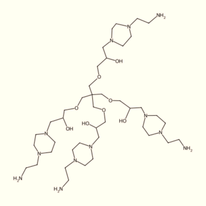 NCCN1CCN(CC(O)COCC(COCC(O)CN2CCN(CCN)CC2)(COCC(O)CN2CCN(CCN)CC2)COCC(O)CN2CCN(CCN)CC2)CC1